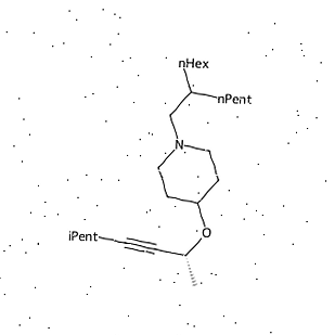 CCCCCCC(CCCCC)CN1CCC(O[C@H](C)C#CC(C)CCC)CC1